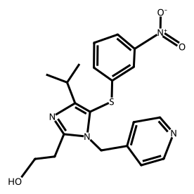 CC(C)c1nc(CCO)n(Cc2ccncc2)c1Sc1cccc([N+](=O)[O-])c1